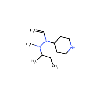 C=CN(C1CCNCC1)N(C)C(C)CC